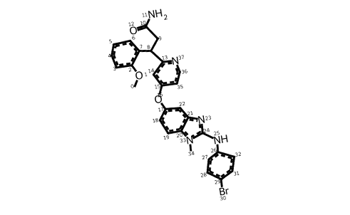 COc1ccccc1C(CC(N)=O)c1cc(Oc2ccc3c(c2)nc(Nc2ccc(Br)cc2)n3C)ccn1